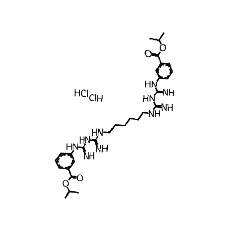 CC(C)OC(=O)c1cccc(NC(=N)NC(=N)NCCCCCCNC(=N)NC(=N)Nc2cccc(C(=O)OC(C)C)c2)c1.Cl.Cl